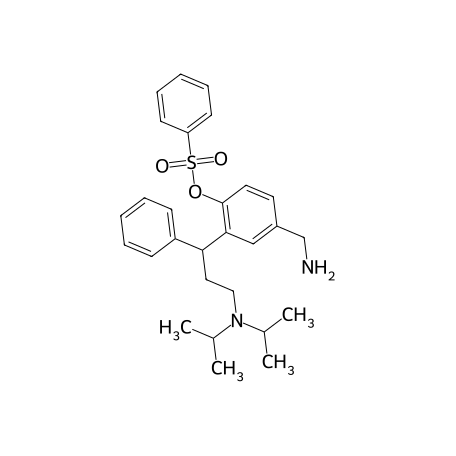 CC(C)N(CCC(c1ccccc1)c1cc(CN)ccc1OS(=O)(=O)c1ccccc1)C(C)C